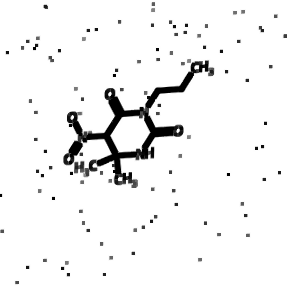 CCCN1C(=O)NC(C)(C)C([N+](=O)[O-])C1=O